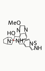 COc1cnc2cccc(C(O)CN3C4CCC3CC(NCC3=CC5=CNSN5C=C3)C4)c2n1